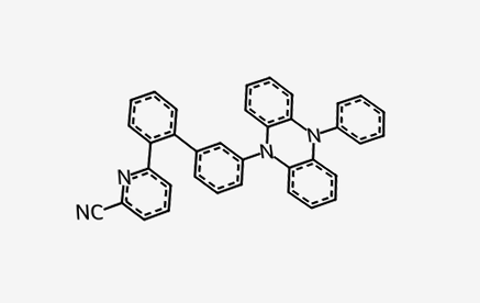 N#Cc1cccc(-c2ccccc2-c2cccc(N3c4ccccc4N(c4ccccc4)c4ccccc43)c2)n1